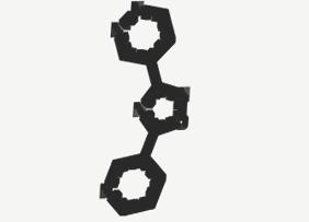 c1cncc(-c2nc(-c3ccnnc3)no2)c1